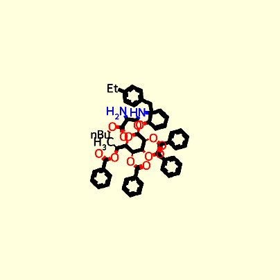 CCCCOC(=O)C(N)C(=O)NC1(Cc2ccc(CC)cc2)C=CC=CC1O[C@@H]1O[C@H]([C@@H](C)OC(=O)c2ccccc2)[C@@H](OC(=O)c2ccccc2)[C@H](OC(=O)c2ccccc2)[C@H]1OC(=O)c1ccccc1